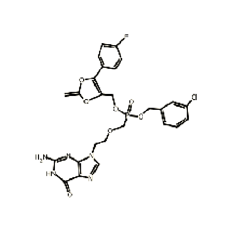 C=C1OC(COP(=O)(COCCn2cnc3c(=O)[nH]c(N)nc32)OCc2cccc(Cl)c2)=C(c2ccc(F)cc2)O1